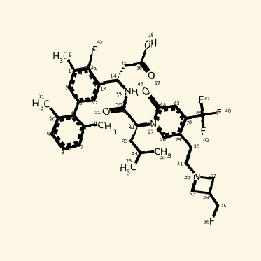 Cc1cc(-c2c(C)cccc2C)cc([C@H](CC(=O)O)NC(=O)[C@H](CC(C)C)n2cc(CCN3CC(CF)C3)c(C(F)(F)F)cc2=O)c1F